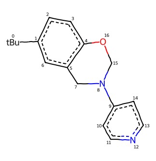 CC(C)(C)c1ccc2c(c1)CN(c1ccncc1)CO2